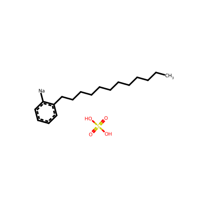 CCCCCCCCCCCCc1cccc[c]1[Na].O=S(=O)(O)O